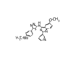 CBc1ccc(-c2nnc(Nc3nc(-c4cccnc4)nc4ccc(OC)cc34)s2)cc1